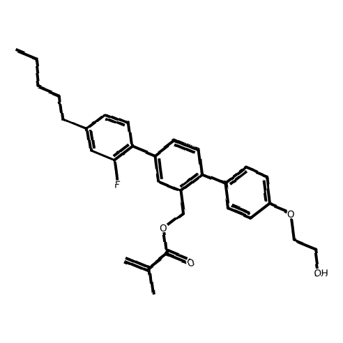 C=C(C)C(=O)OCc1cc(-c2ccc(CCCCC)cc2F)ccc1-c1ccc(OCCO)cc1